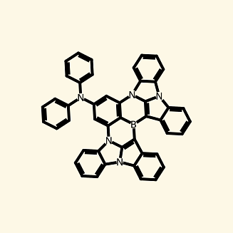 c1ccc(N(c2ccccc2)c2cc3c4c(c2)-n2c5ccccc5n5c6ccccc6c(c25)B4c2c4ccccc4n4c5ccccc5n-3c24)cc1